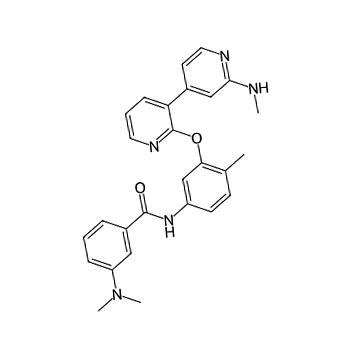 CNc1cc(-c2cccnc2Oc2cc(NC(=O)c3cccc(N(C)C)c3)ccc2C)ccn1